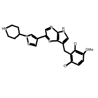 COc1ccc(Cl)c(Cc2c[nH]c3ncc(-c4cnn(C5CCNCC5)c4)nc23)c1Cl